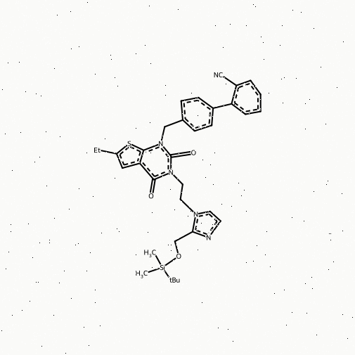 CCc1cc2c(=O)n(CCn3ccnc3CO[Si](C)(C)C(C)(C)C)c(=O)n(Cc3ccc(-c4ccccc4C#N)cc3)c2s1